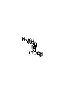 CN(C)C/C=C1\CCN(c2cc3c(Nc4cc(Cl)c(Oc5ccn6ncnc6c5)cc4F)ncnc3cn2)C1=O